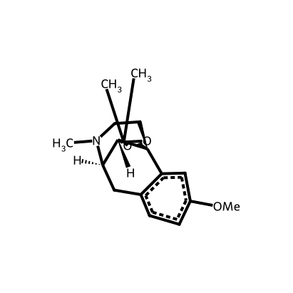 COc1ccc2c(c1)[C@]13CCN(C)[C@H](C2)[C@@H]1OC(C)(C)OC3